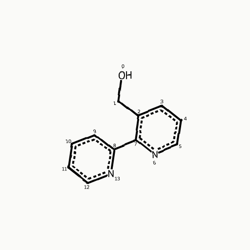 OCc1cccnc1-c1ccccn1